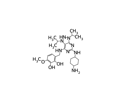 COc1ccc(CNc2nc(NC3CCC(N)CC3)nc3c2N(C(C)C)NN3C(C)C)c(O)c1O